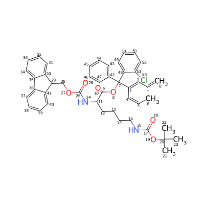 C=C/C=C(\C=C/C)C(OC(=O)C(CCCCNC(=O)OC(C)(C)C)NC(=O)OCC1c2ccccc2-c2ccccc21)(c1ccccc1)c1ccccc1Cl